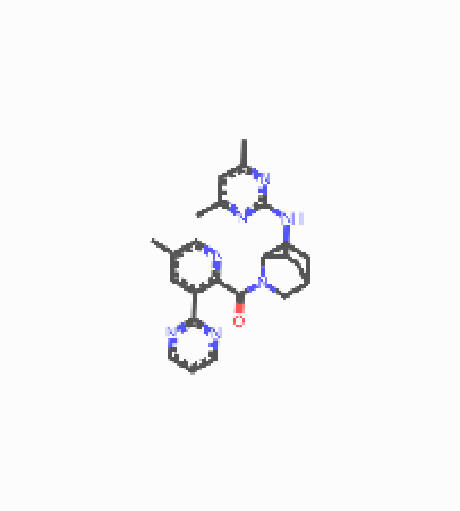 Cc1cnc(C(=O)N2CC3CCC2C(Nc2nc(C)cc(C)n2)C3)c(-c2ncccn2)c1